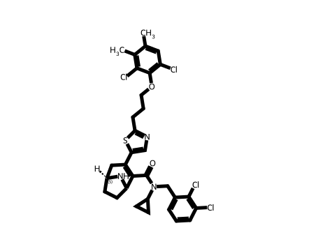 Cc1cc(Cl)c(OCCCc2ncc(C3=C(C(=O)N(Cc4cccc(Cl)c4Cl)C4CC4)C4CC[C@@H](C3)N4)s2)c(Cl)c1C